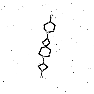 CC1CCN(C2CC3(CCN(C4CN(C)C4)CC3)C2)CC1